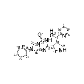 CC(c1ccccn1)C1CNCC1C1=NC2=CN(c3ccccc3)CN2C(=O)N1